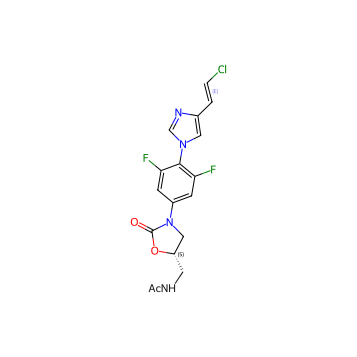 CC(=O)NC[C@H]1CN(c2cc(F)c(-n3cnc(/C=C/Cl)c3)c(F)c2)C(=O)O1